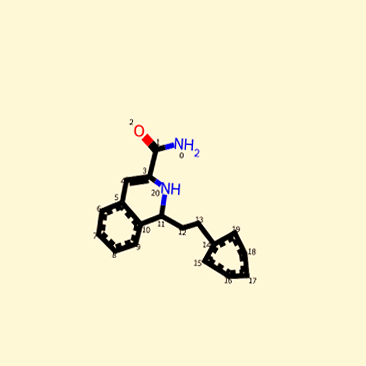 NC(=O)C1=Cc2ccccc2C(CCc2ccccc2)N1